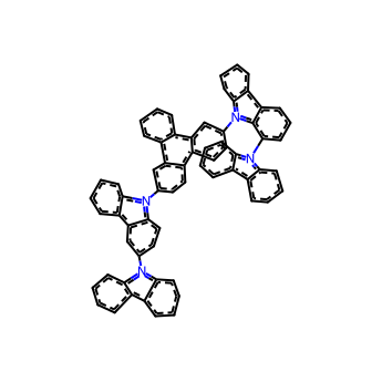 c1ccc2c(c1)c1cc(-n3c4ccccc4c4cc(-n5c6ccccc6c6ccccc65)ccc43)ccc1c1ccc(-n3c4ccccc4c4cccc(-n5c6ccccc6c6ccccc65)c43)cc21